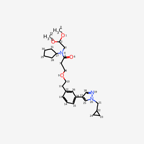 COC(CN(C(=O)CCOCCc1cccc(-c2cnn(CC3CC3)c2)c1)C1CCCC1)OC